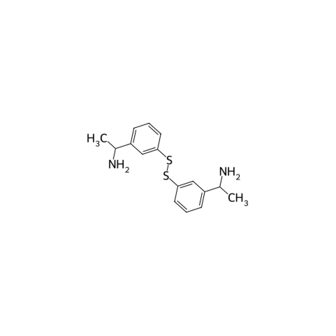 CC(N)c1cccc(SSc2cccc(C(C)N)c2)c1